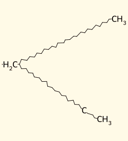 [CH2]C(CCCCCCCCCCCCCCCCCCCCCCCC)CCCCCCCCCCCCCCCCCCCCCCCCCC